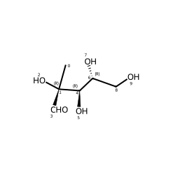 C[C@](O)(C=O)[C@H](O)[C@H](O)CO